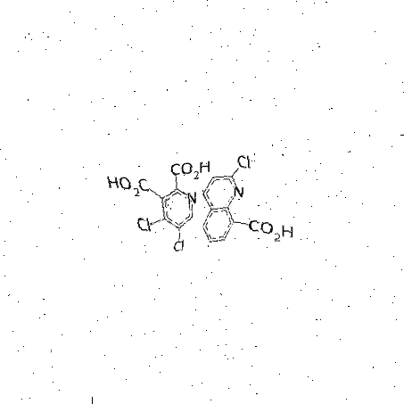 O=C(O)c1cccc2ccc(Cl)nc12.O=C(O)c1ncc(Cl)c(Cl)c1C(=O)O